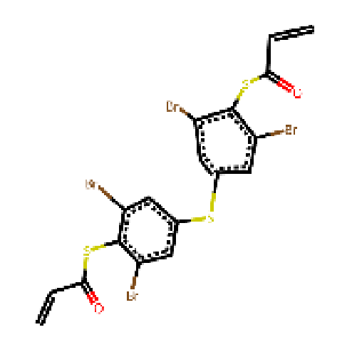 C=CC(=O)Sc1c(Br)cc(Sc2cc(Br)c(SC(=O)C=C)c(Br)c2)cc1Br